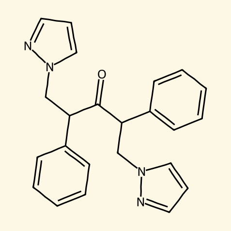 O=C(C(Cn1cccn1)c1ccccc1)C(Cn1cccn1)c1ccccc1